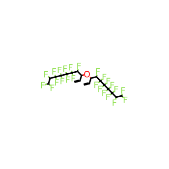 C=CC(OC(C=C)C(F)C(F)(F)C(F)(F)C(F)(F)C(F)(F)C(F)C(F)F)C(F)C(F)(F)C(F)(F)C(F)(F)C(F)(F)C(F)C(F)F